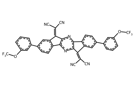 N#CC(C#N)=C1c2cc(-c3cccc(OC(F)(F)F)c3)ccc2-c2nc3c(nc21)-c1ccc(-c2cccc(OC(F)(F)F)c2)cc1C3=C(C#N)C#N